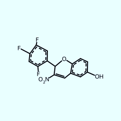 O=[N+]([O-])C1=Cc2cc(O)ccc2OC1c1cc(F)c(F)cc1F